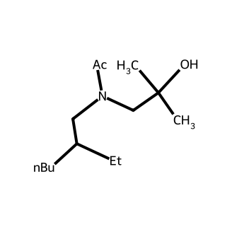 CCCCC(CC)CN(CC(C)(C)O)C(C)=O